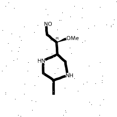 CO[C@H](CN=O)C1CNC(C)CN1